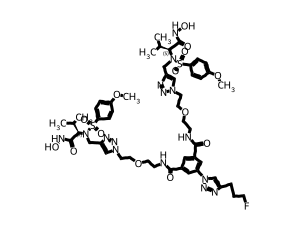 COc1ccc(S(=O)(=O)N(Cc2cn(CCOCCNC(=O)c3cc(C(=O)NCCOCCn4cc(CN([C@@H](C(=O)NO)C(C)C)S(=O)(=O)c5ccc(OC)cc5)nn4)cc(-n4cc(CCCF)nn4)c3)nn2)[C@H](C(=O)NO)C(C)C)cc1